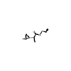 C=CCOC(=O)C(C)C1CN1